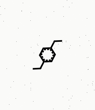 C[CH]c1ccc(CC)cc1